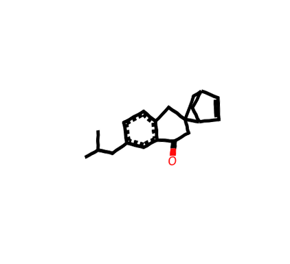 CC(C)Cc1ccc2c(c1)C(=O)CC1(C2)CC2C=CC1C2